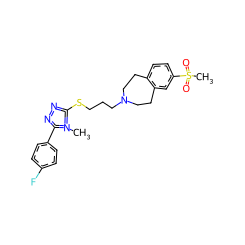 Cn1c(SCCCN2CCc3ccc(S(C)(=O)=O)cc3CC2)nnc1-c1ccc(F)cc1